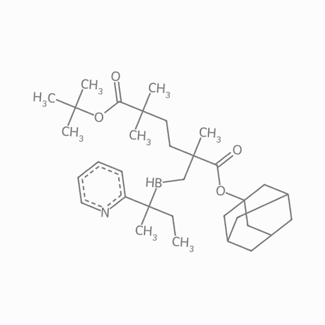 CCC(C)(BCC(C)(CCC(C)(C)C(=O)OC(C)(C)C)C(=O)OC12CC3CC(CC(C3)C1)C2)c1ccccn1